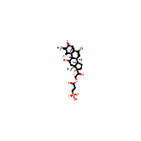 C=C1C(=C)[C@@]2(C)C(=CC1=O)C(Cl)=C[C@@H]1[C@@H]2C(O)C[C@@]2(C)[C@H]1CC[C@]2(O)C(=O)COC(=O)CCS(=O)(=O)O